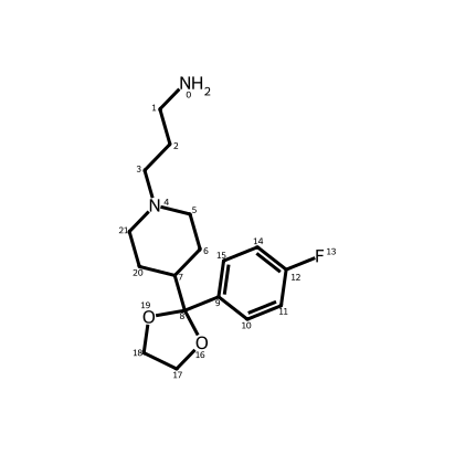 NCCCN1CCC(C2(c3ccc(F)cc3)OCCO2)CC1